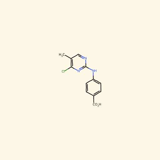 Cc1cnc(Nc2ccc(C(=O)O)cc2)nc1Cl